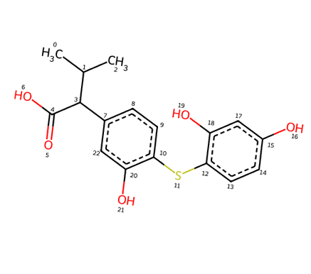 CC(C)C(C(=O)O)c1ccc(Sc2ccc(O)cc2O)c(O)c1